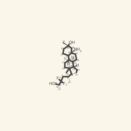 C[C@H](CC(F)(F)[C@H](C)O)[C@H]1CC[C@H]2[C@@H]3CC[C@@]4(N)C[C@@](C)(O)CC[C@]4(C)[C@H]3CCC12C